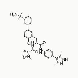 Cc1n[nH]c(C)c1-c1ccc(NC(=O)[C@H](Cc2cc(-c3cccc(C(C)(C)N)c3)ccc2Cl)NC(=O)c2ccnn2C)cc1